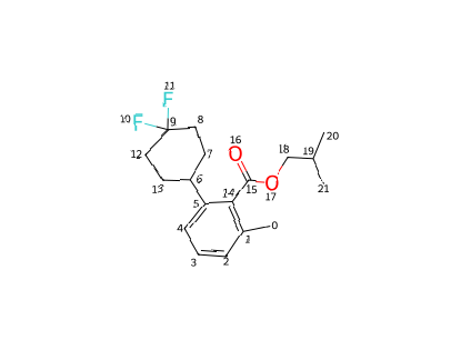 Cc1cccc(C2CCC(F)(F)CC2)c1C(=O)OCC(C)C